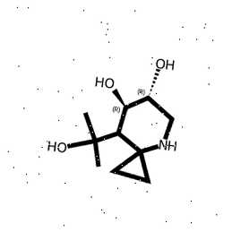 CC(C)(O)C1[C@@H](O)[C@H](O)CNC12CC2